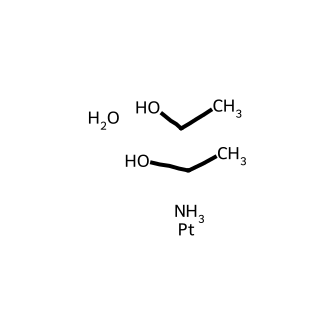 CCO.CCO.N.O.[Pt]